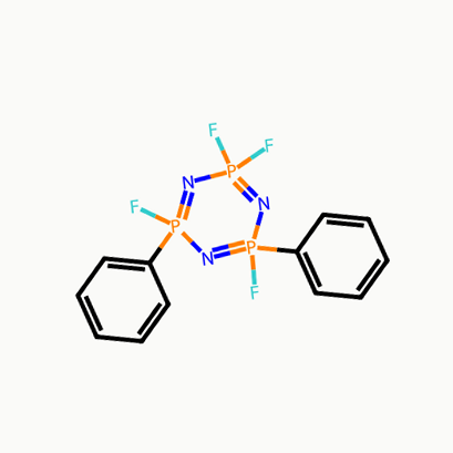 FP1(F)=NP(F)(c2ccccc2)=NP(F)(c2ccccc2)=N1